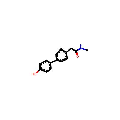 CNC(=O)Cc1ccc(-c2ccc(O)cc2)cc1